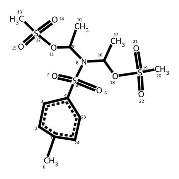 Cc1ccc(S(=O)(=O)N(C(C)OS(C)(=O)=O)C(C)OS(C)(=O)=O)cc1